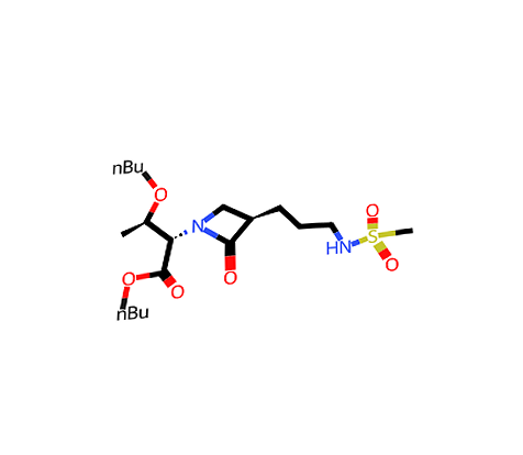 CCCCOC(=O)[C@H]([C@@H](C)OCCCC)N1C[C@@H](CCCNS(C)(=O)=O)C1=O